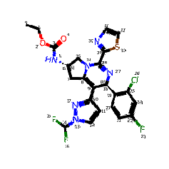 CCOC(=O)N[C@H]1CC2=C(c3ccn(C(F)F)n3)[C@H](c3ccc(F)cc3Cl)N=C(c3nccs3)N2C1